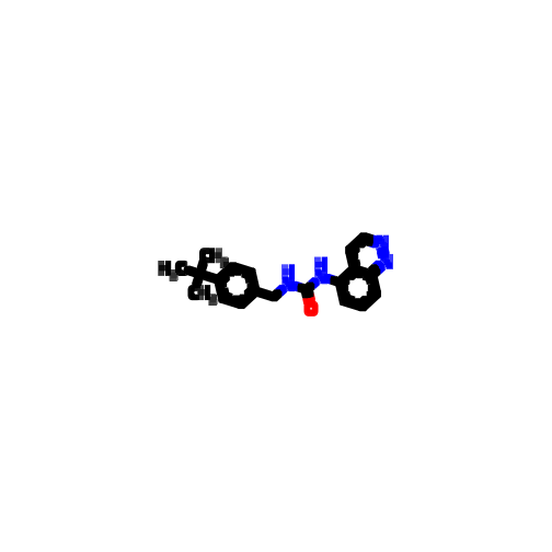 CC(C)(C)c1ccc(CNC(=O)Nc2cccc3nnccc23)cc1